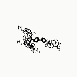 C=C(C)C(=O)OCC(COC(=O)C(=O)OC)(COC(=O)C(=O)OC)c1ccc(-c2ccc(OC(=O)C(=C)C)cc2)cc1